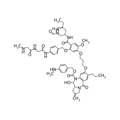 C=C(CC)CC(CNC=O)NC(=O)c1cc(OC)c(OCCCOc2cc3c(cc2CCC)C(=O)N2CC(=C)CC2C(O)N3C(=O)OCc2ccc(NC)cc2)cc1OCc1ccc(NC(=O)CNC(=O)CNC)cc1